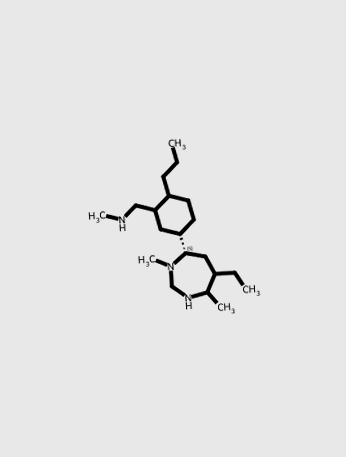 CCCC1CCC([C@@H]2CC(CC)C(C)NCN2C)CC1CNC